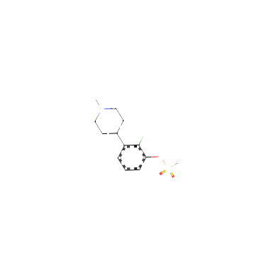 CCN1CCC(c2cccc(OS(=O)(=O)C(F)(F)F)c2F)CC1